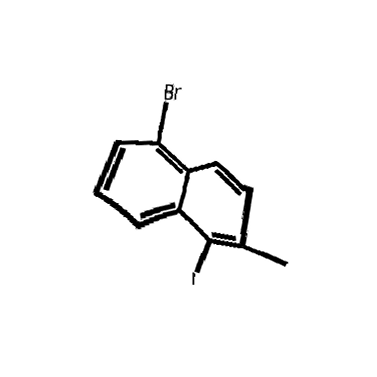 Cc1ccc2c(Br)cccc2c1I